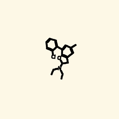 CCN(CC)C1Cc2cc(C)cc(-c3ccccc3Cl)c2O1